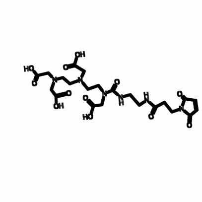 O=C(O)CN(CCN(CC(=O)O)CC(=O)O)CCN(CC(=O)O)C(=O)NCCNC(=O)CCN1C(=O)C=CC1=O